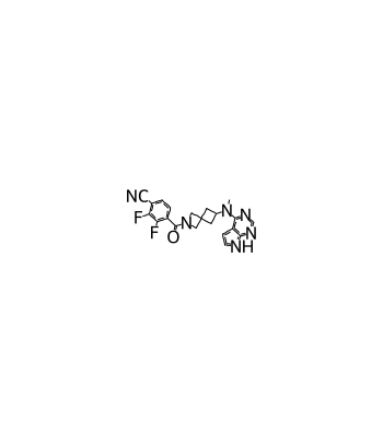 CN(c1ncnc2[nH]ccc12)C1CC2(C1)CN(C(=O)c1ccc(C#N)c(F)c1F)C2